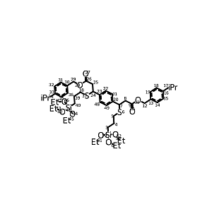 CCO[Si](CCCSC(CC(=O)OCc1ccc(C(C)C)cc1)c1ccc(C(CC(=O)OCc2ccc(C(C)C)cc2)SCCC[Si](OCC)(OCC)OCC)cc1)(OCC)OCC